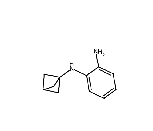 Nc1ccccc1NC12CC(C1)C2